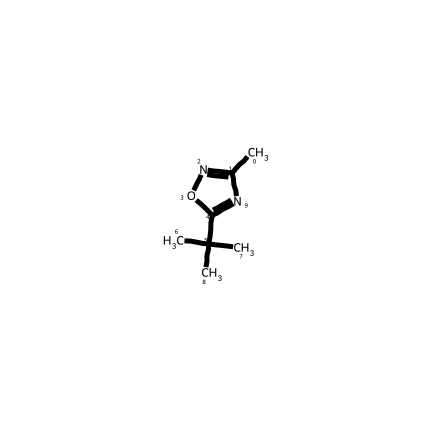 Cc1noc(C(C)(C)C)n1